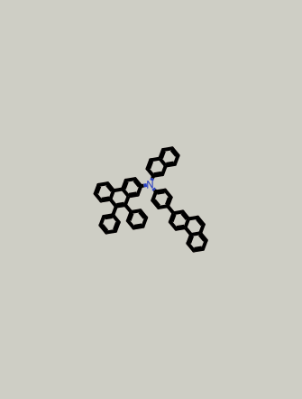 c1ccc(-c2c(-c3ccccc3)c3cc(N(c4ccc(-c5ccc6c(ccc7ccccc76)c5)cc4)c4ccc5ccccc5c4)ccc3c3ccccc23)cc1